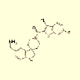 NCc1ccc2c(c1)C1(CCN(C(=O)c3sc4cc(F)ccc4c3Cl)CC1)CO2